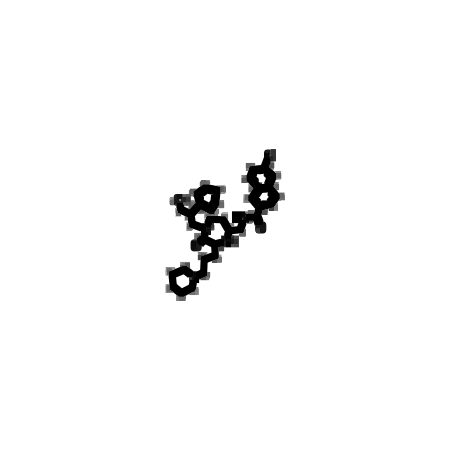 CCC(CN1CCC(CNC(=O)c2ccc3cc(Cl)ccc3c2)NC(CCCN2CCCCC2)C1=O)c1ccccc1